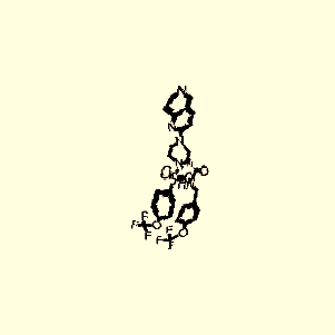 O=C(NCc1ccc(OC(F)(F)F)cc1)[C@H]1CN(c2ccc3cnccc3n2)CCN1S(=O)(=O)c1ccc(OC(F)(F)F)cc1